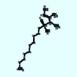 CCCCCCCCCCP(=O)(O)C(C)C(C)=NO